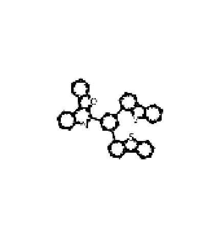 c1ccc2c(c1)nc(-c1cc(-c3cccc4c3sc3ccccc34)cc(-c3cccc4c3sc3ccccc34)c1)c1oc3ccccc3c12